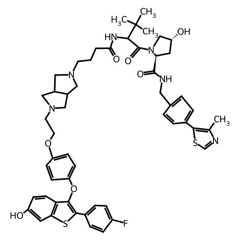 Cc1ncsc1-c1ccc(CNC(=O)[C@@H]2C[C@@H](O)CN2C(=O)C(NC(=O)CCCN2CC3CN(CCOc4ccc(Oc5c(-c6ccc(F)cc6)sc6cc(O)ccc56)cc4)CC3C2)C(C)(C)C)cc1